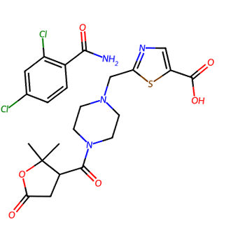 CC1(C)OC(=O)CC1C(=O)N1CCN(Cc2ncc(C(=O)O)s2)CC1.NC(=O)c1ccc(Cl)cc1Cl